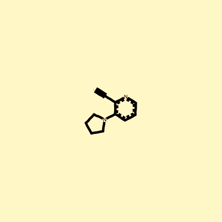 [C]#Cc1ncccc1N1CCCC1